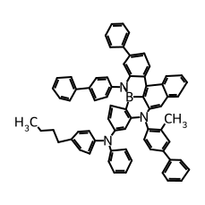 CCCCc1ccc(N(c2ccccc2)c2ccc3c(c2)N(c2ccc(-c4ccccc4)cc2C)c2cc4ccccc4c4c2B3N(c2ccc(-c3ccccc3)cc2)c2cc(-c3ccccc3)ccc2-4)cc1